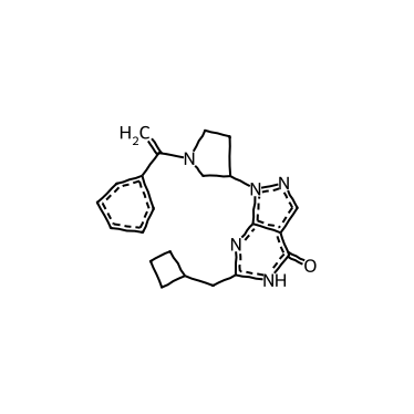 C=C(c1ccccc1)N1CCC(n2ncc3c(=O)[nH]c(CC4CCC4)nc32)C1